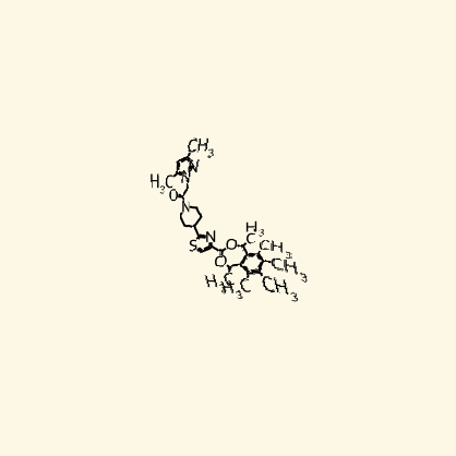 Cc1cc(C)n(CC(=O)N2CCC(c3nc(C4OC(C)c5c(C)c(C)c(C)c(C)c5C(C)O4)cs3)CC2)n1